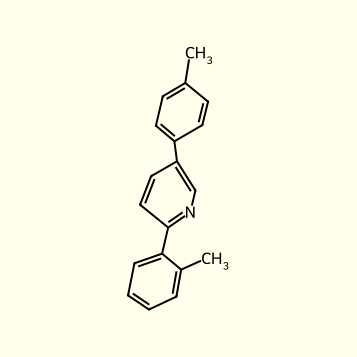 Cc1ccc(-c2ccc(-c3ccccc3C)nc2)cc1